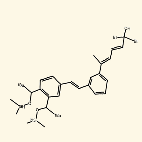 CCC(O)(/C=C/C=C(\C)c1cccc(/C=C/c2ccc(C(O[SiH](C)C)C(C)(C)C)c(C(O[SiH](C)C)C(C)(C)C)c2)c1)CC